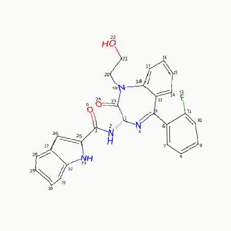 O=C(N[C@H]1N=C(c2ccccc2F)c2ccccc2N(CCO)C1=O)c1cc2ccccc2[nH]1